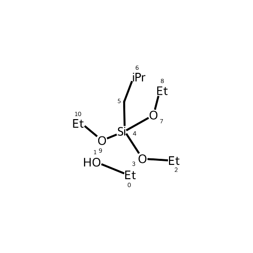 CCO.CCO[Si](CC(C)C)(OCC)OCC